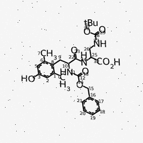 Cc1cc(O)cc(C)c1CC(NC(=O)OCc1ccccc1)C(=O)NC(CNC(=O)OC(C)(C)C)C(=O)O